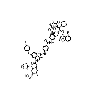 C[C@@H]1COCCN1C[C@H]1CN(C(=O)O)[C@H](C)CN1CC(=O)N1CC(C)(C(=O)Nc2ccc(C(=O)Nc3ccc4c(c3)[C@@H](C(=O)Nc3c(F)cccc3F)N(C(=O)[C@@H](NC(=O)[C@H](C)N(C)C(=O)OC(C)(C)C)C3CCOCC3)C4)cc2)c2ccc(Cc3ccc(F)cc3)cc21